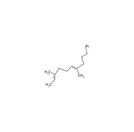 CC=C(C)CCC=C(C)CCCC(C)C